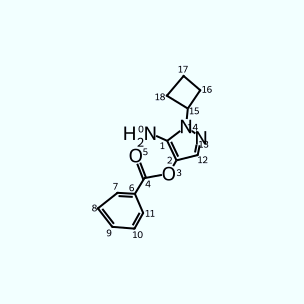 Nc1c(OC(=O)c2ccccc2)cnn1C1CCC1